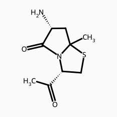 CC(=O)[C@H]1CSC2(C)C[C@@H](N)C(=O)N12